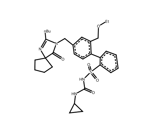 CCCCC1=NC2(CCCC2)C(=O)N1Cc1ccc(-c2ccccc2S(=O)(=O)NC(=O)NC2CC2)c(COCC)c1